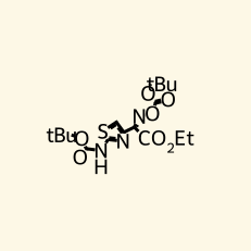 CCOC(=O)C(=NOC(=O)OC(C)(C)C)c1csc(NC(=O)OC(C)(C)C)n1